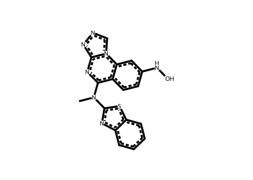 CN(c1nc2ccccc2s1)c1nc2nncn2c2cc(NO)ccc12